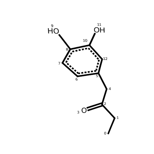 CCC(=O)Cc1ccc(O)c(O)c1